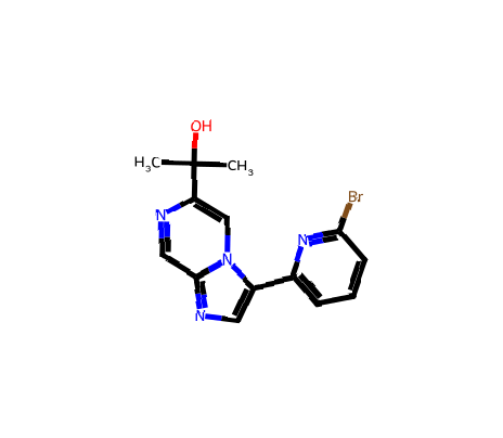 CC(C)(O)c1cn2c(-c3cccc(Br)n3)cnc2cn1